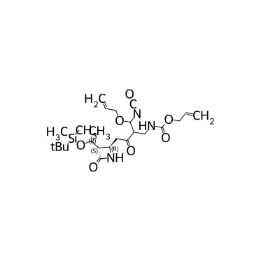 C=CCOC(=O)NCC(C(=O)C[C@H]1NC(=O)[C@@H]1[C@@H](C)O[Si](C)(C)C(C)(C)C)C(N=C=O)OCC=C